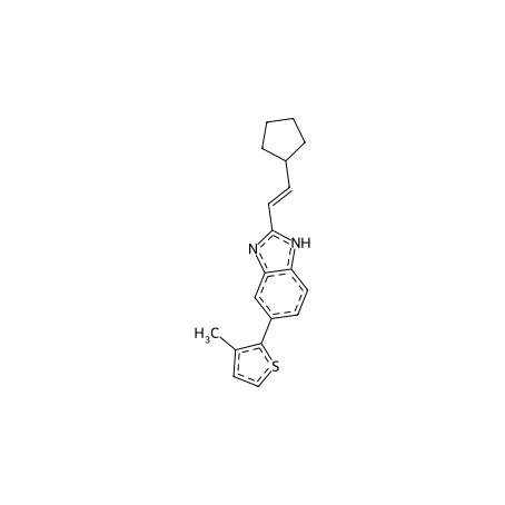 Cc1ccsc1-c1ccc2[nH]c(C=CC3CCCC3)nc2c1